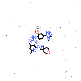 CCOc1cc(-c2nncn2C)ccc1Nc1ncc2cc(C)nc(NCC3(C)CCOCC3)c2n1